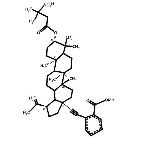 C=C(C)[C@@H]1CC[C@]2(C#Cc3ccccc3C(=O)OC)CC[C@]3(C)C(CCC4[C@@]5(C)CC[C@H](OC(=O)CC(C)(C)C(=O)O)C(C)(C)C5CC[C@]43C)C12